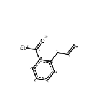 C=CCc1ccccc1C(=O)CC